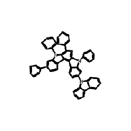 c1ccc(-c2ccc3c4c5c6ccc(-n7c8ccccc8c8ccccc87)cc6n(-c6ccccc6)c5cc(-c5ccccc5)c4n(-c4ccccc4)c3c2)cc1